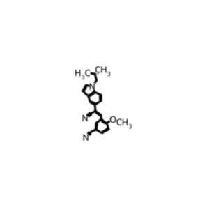 COc1ccc(C#N)cc1/C=C(\C#N)c1ccc2c(ccn2C[C](C)C)c1